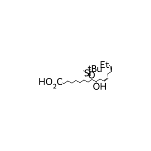 CC/C=C\C/C=C\CC(O)C(CCCCCCCC(=O)O)O[Si](C)(C)C(C)(C)C